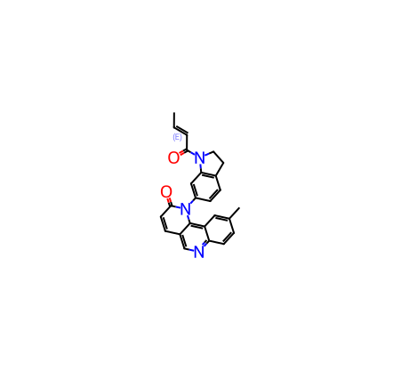 C/C=C/C(=O)N1CCc2ccc(-n3c(=O)ccc4cnc5ccc(C)cc5c43)cc21